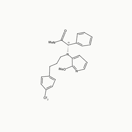 CNC(=O)[C@H](c1ccccc1)N(CCCc1ccc(C(F)(F)F)cc1)c1cccnc1OC